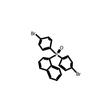 O=P(c1ccc(Br)cc1)(c1ccc(Br)cc1)c1cccc2ccccc12